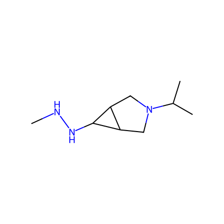 CNNC1C2CN(C(C)C)CC21